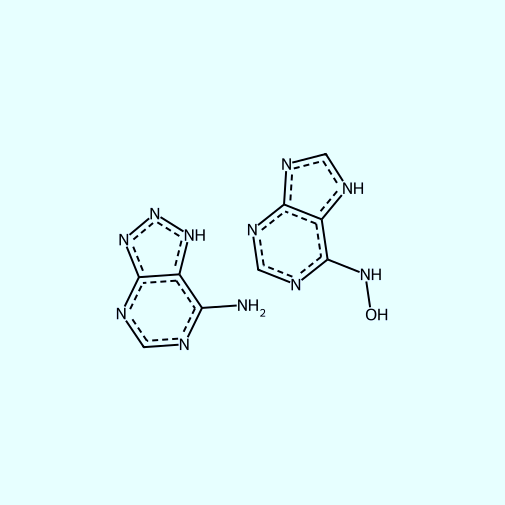 Nc1ncnc2nn[nH]c12.ONc1ncnc2nc[nH]c12